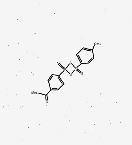 COC(=O)c1ccc(P2(=S)SP(=S)(c3ccc(OC)cc3)S2)cc1